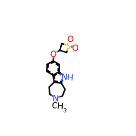 CN1CCc2[nH]c3cc(OC4CS(=O)(=O)C4)ccc3c2CC1